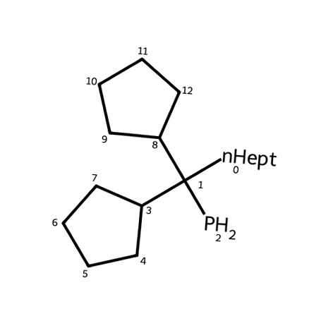 CCCCCCCC(P)(C1CCCC1)C1CCCC1